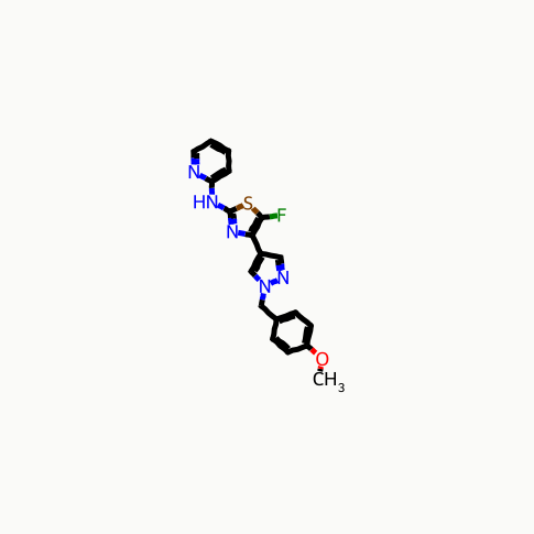 COc1ccc(Cn2cc(-c3nc(Nc4ccccn4)sc3F)cn2)cc1